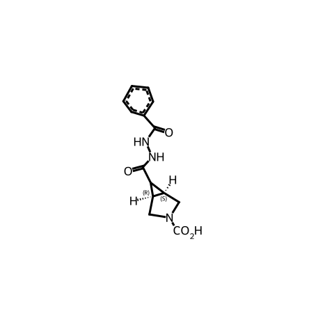 O=C(NNC(=O)C1[C@H]2CN(C(=O)O)C[C@@H]12)c1ccccc1